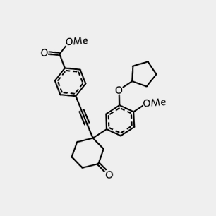 COC(=O)c1ccc(C#CC2(c3ccc(OC)c(OC4CCCC4)c3)CCCC(=O)C2)cc1